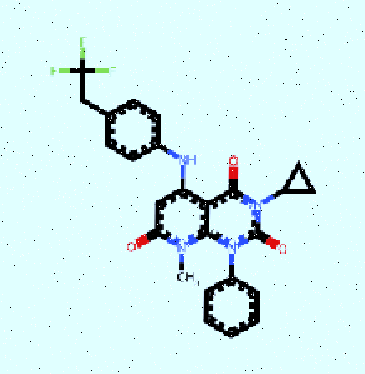 Cn1c(=O)cc(Nc2ccc(CC(F)(F)F)cc2)c2c(=O)n(C3CC3)c(=O)n(-c3ccccc3)c21